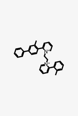 Cc1ccccc1-c1cccc[n+]1CC[n+]1ccccc1-c1ccc(-c2ccccc2)cc1C